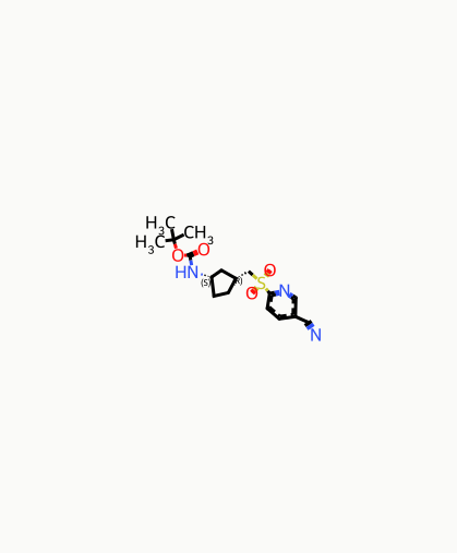 CC(C)(C)OC(=O)N[C@H]1CC[C@@H](CS(=O)(=O)c2ccc(C#N)cn2)C1